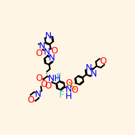 Cn1c(=O)n(-c2ccc(CC[C@H](NC(=O)c3cc(F)c(NS(=O)(=O)c4ccc(-c5cnc(C6CCOCC6)nc5)cc4)cc3F)C(=O)OCCN3CCOCC3)cn2)c(=O)c2ccncc21